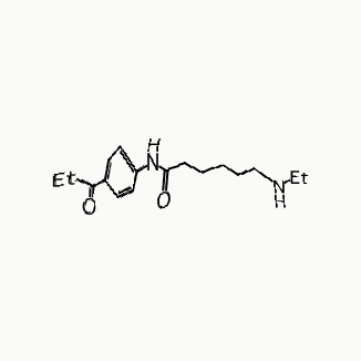 CCNCCCCCC(=O)Nc1ccc(C(=O)CC)cc1